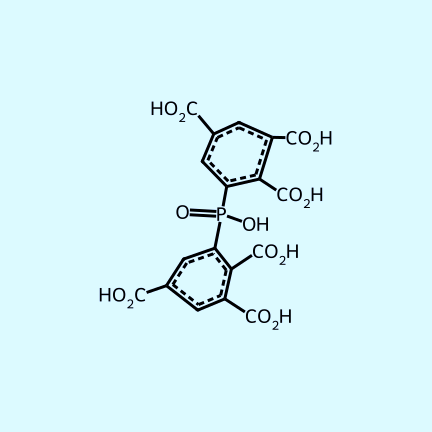 O=C(O)c1cc(C(=O)O)c(C(=O)O)c(P(=O)(O)c2cc(C(=O)O)cc(C(=O)O)c2C(=O)O)c1